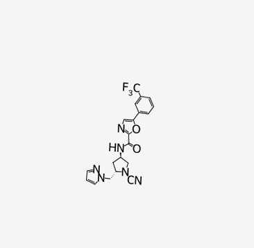 N#CN1C[C@H](NC(=O)c2ncc(-c3cccc(C(F)(F)F)c3)o2)C[C@H]1Cn1cccn1